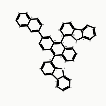 c1ccc2cc(-c3ccc4c(-c5cccc6c5sc5ccccc56)c5ccccc5c(-c5cccc6c5sc5ccccc56)c4c3)ccc2c1